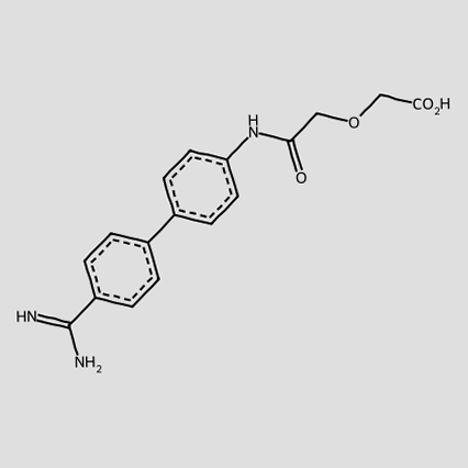 N=C(N)c1ccc(-c2ccc(NC(=O)COCC(=O)O)cc2)cc1